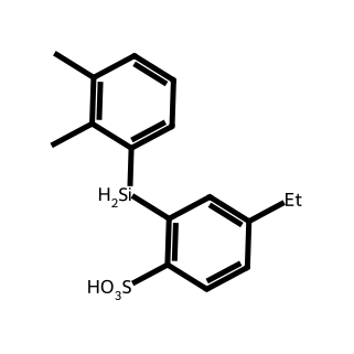 CCc1ccc(S(=O)(=O)O)c([SiH2]c2cccc(C)c2C)c1